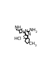 CC1CCc2sc3c(N4CC(CN)C4)nc(N)nc3c2C1.Cl